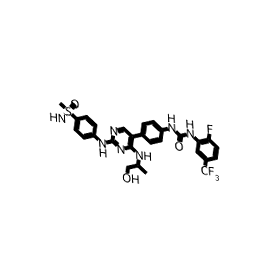 CC(CO)Nc1nc(Nc2ccc(S(C)(=N)=O)cc2)ncc1-c1ccc(NC(=O)Nc2cc(C(F)(F)F)ccc2F)cc1